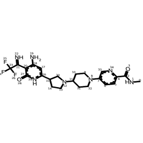 CNC(=O)c1ccc(N2CCC(N3CCC(c4cc(N)c(C(=N)C(F)(F)F)c(=O)[nH]4)C3)CC2)cn1